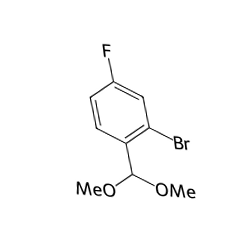 COC(OC)c1ccc(F)cc1Br